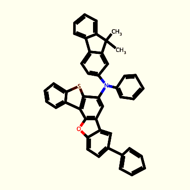 CC1(C)c2ccccc2-c2ccc(N(c3ccccc3)c3cc4c5cc(-c6ccccc6)ccc5oc4c4c3sc3ccccc34)cc21